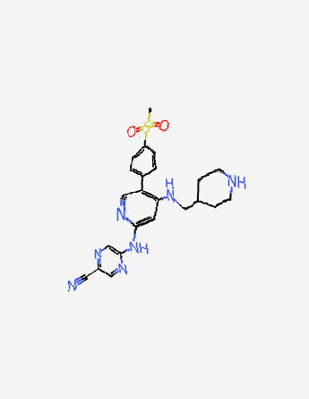 CS(=O)(=O)c1ccc(-c2cnc(Nc3cnc(C#N)cn3)cc2NCC2CCNCC2)cc1